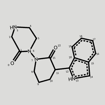 O=C1CNCCN1N1CCCC(c2[nH]cc3ccccc23)C1=O